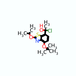 CC(C)Oc1nc2c(OC(C)(C)C)ccc([C@](C)(O)Cl)c2s1